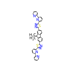 CC1(C)c2cc(-c3nnc(-c4cccc(-c5ccccn5)n4)s3)ccc2-c2ccc(-c3nnc(-c4cccc(-c5ccccn5)n4)s3)cc21